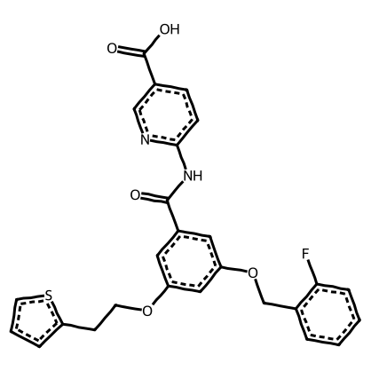 O=C(O)c1ccc(NC(=O)c2cc(OCCc3cccs3)cc(OCc3ccccc3F)c2)nc1